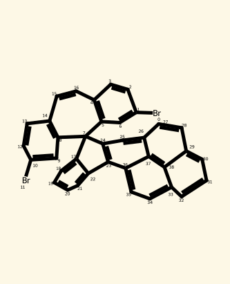 Brc1ccc2c(c1)C1(c3cc(Br)ccc3C=C2)c2ccccc2-c2c1cc1ccc3cccc4ccc2c1c34